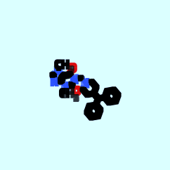 Cn1cnc2c1c(=O)n(CN1CCC(C(c3ccccc3)c3ccccc3)CC1)c(=O)n2C